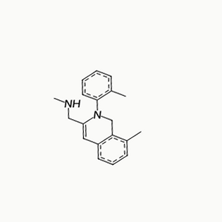 CNCC1=Cc2cccc(C)c2CN1c1ccccc1C